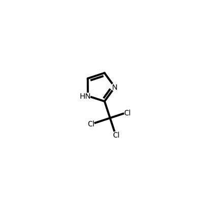 ClC(Cl)(Cl)c1ncc[nH]1